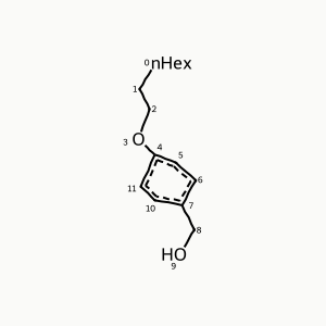 CCCCCCCCOc1ccc(CO)cc1